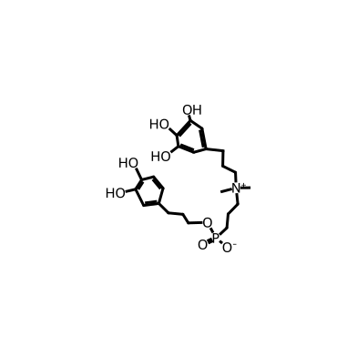 C[N+](C)(CCCc1cc(O)c(O)c(O)c1)CCCP(=O)([O-])OCCCc1ccc(O)c(O)c1